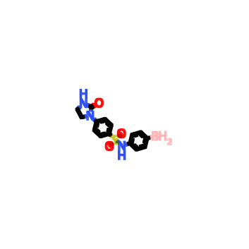 Bc1ccc(NS(=O)(=O)c2ccc(N3CCNC3=O)cc2)cc1